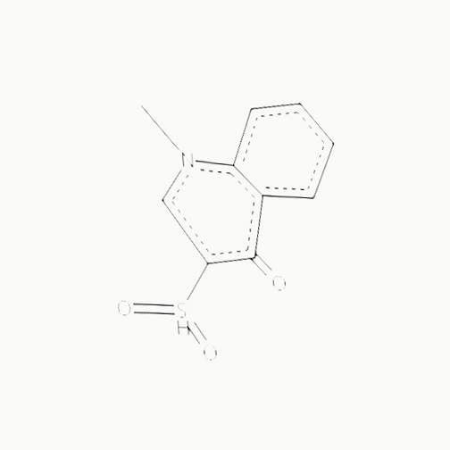 Cn1cc([SH](=O)=O)c(=O)c2ccccc21